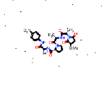 COC1CC(=O)N([C@@H](C)C(=O)N[C@@H](C)C(=O)N2CCC[C@H]2C(=O)N[C@H](C(=O)Nc2ccc([N+](=O)[O-])cc2)C(C)C)C1=O